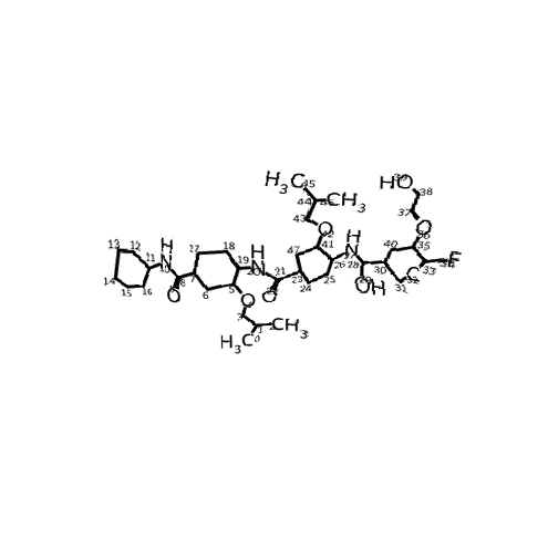 CC(C)COC1CC(C(=O)NC2CCCCC2)CCC1NC(=O)C1CCC(NC(O)C2CCC(F)C(OCCO)C2)C(OCC(C)C)C1